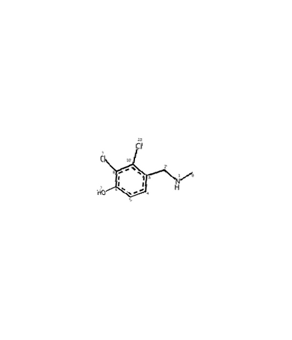 CNCc1ccc(O)c(Cl)c1Cl